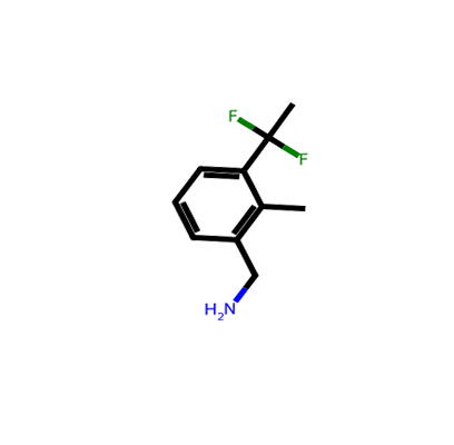 Cc1c(CN)cccc1C(C)(F)F